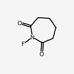 O=C1CCCCC(=O)N1F